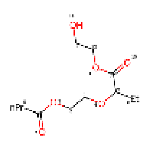 CCCC(=O)OCCOC(CC)C(=O)OCCO